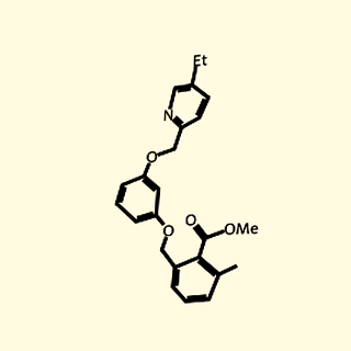 CCc1ccc(COc2cccc(OCc3cccc(C)c3C(=O)OC)c2)nc1